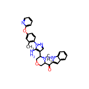 Cc1cc(Oc2ccccn2)ccc1-n1ncc(C2COCC(C(=O)c3cc4ccccc4[nH]3)N2C)c1N